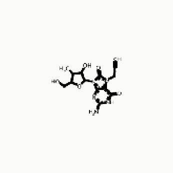 C#CCn1c(=O)n(C2OC(CO)C(C)C2O)c2nc(N)[nH]c(=O)c21